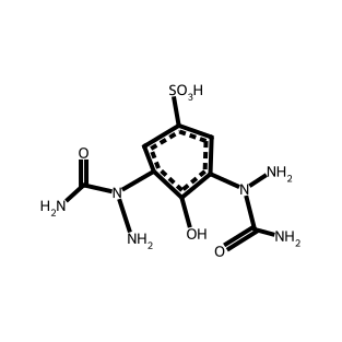 NC(=O)N(N)c1cc(S(=O)(=O)O)cc(N(N)C(N)=O)c1O